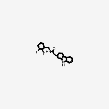 O=C(Cc1ccc2c(c1)[nH]c1ccccc12)NCc1cccc(F)c1F